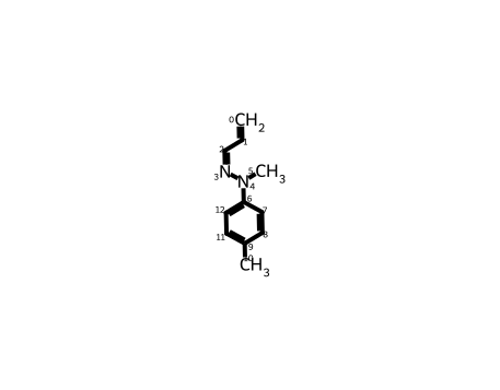 C=C/C=N\N(C)c1ccc(C)cc1